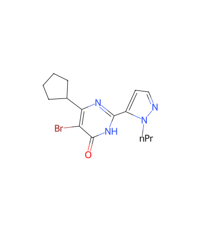 CCCn1nccc1-c1nc(C2CCCC2)c(Br)c(=O)[nH]1